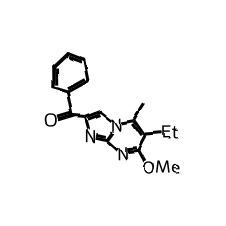 CCc1c(OC)nc2nc(C(=O)c3ccccc3)cn2c1C